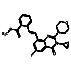 COC(=O)c1ccccc1/C=C/c1cc(F)cc2c(=O)n(C3CC3)c(N3CCOCC3)nc12